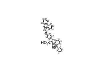 O=C(c1ccccc1)c1ccccc1NC(Cc1ccc(OCCN(Cc2ccccc2)c2ccccc2)cc1)C(=O)O